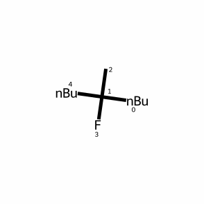 CCCCC(C)(F)CCCC